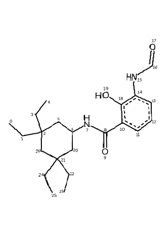 CCC1(CC)CC(NC(=O)c2cccc(NC=O)c2O)CC(CC)(CC)C1